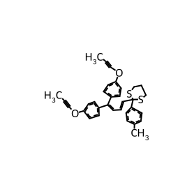 CC#COc1ccc(C(=C/C=C/C2(c3ccc(C)cc3)SCCCS2)c2ccc(OC#CC)cc2)cc1